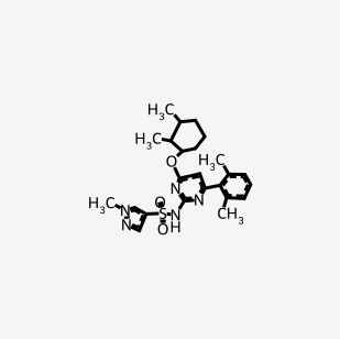 Cc1cccc(C)c1-c1cc(OC2CCCC(C)C2C)nc(NS(=O)(=O)c2cnn(C)c2)n1